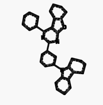 c1ccc(-c2nc(-c3cccc(-n4c5ccccc5c5ccccc54)c3)nc3oc4ccccc4c23)cc1